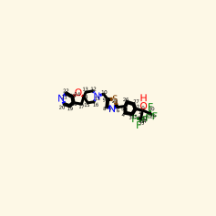 OC(c1ccc(-c2ncc(CN3CCC4(CC3)Cc3ccncc3O4)s2)cc1)(C(F)(F)F)C(F)(F)F